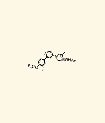 CC(=O)N[C@@H]1CCN(c2ccnc(-c3ccc(OC(F)(F)F)c(F)c3)c2)C[C@H]1C